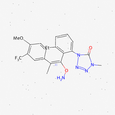 CCc1cccc(-n2nnn(C)c2=O)c1/C(ON)=C(/C)c1ccc(OC)c(C(F)(F)F)c1